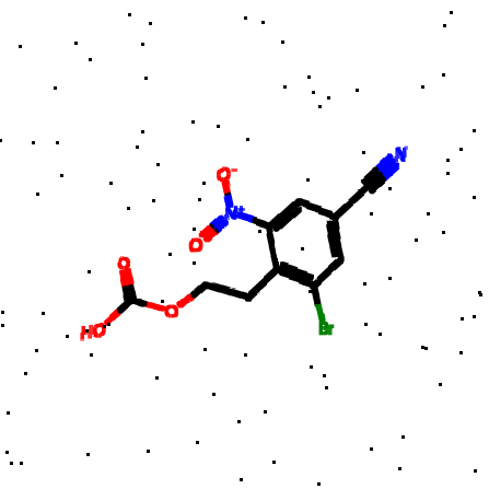 N#Cc1cc(Br)c(CCOC(=O)O)c([N+](=O)[O-])c1